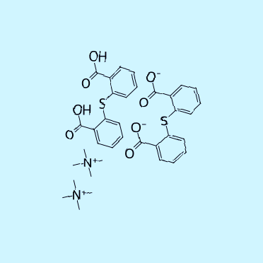 C[N+](C)(C)C.C[N+](C)(C)C.O=C(O)c1ccccc1Sc1ccccc1C(=O)O.O=C([O-])c1ccccc1Sc1ccccc1C(=O)[O-]